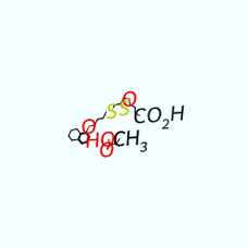 CCC(=O)O.O=C(O)CCC1OCC(CSCCCCOc2cccc3c2CCCC3)S1